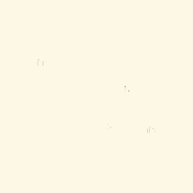 CC(C)c1nc2c(s1)CC(C(C)C)C2